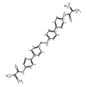 C=C(C)C(=O)Oc1ccc(-c2ccc(COc3ccc(-c4ccc(OC(=O)C(=C)C)cc4)cc3)cc2)cc1